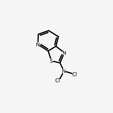 ClN(Cl)c1nc2cccnc2s1